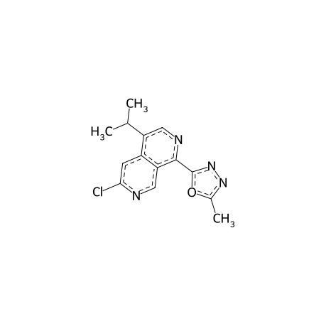 Cc1nnc(-c2ncc(C(C)C)c3cc(Cl)ncc23)o1